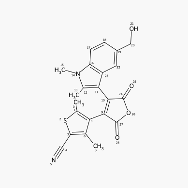 Cc1sc(C#N)c(C)c1C1=C(c2c(C)n(C)c3ccc(CO)cc23)C(=O)OC1=O